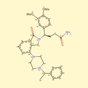 COc1ccc([C@@H](CCC(N)=O)N2Cc3c(cccc3N3CCN(C(C)c4ccccc4)CC3)C2=O)cc1OC